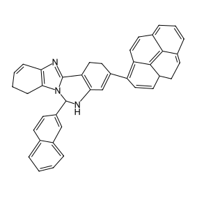 C1=Cc2nc3n(c2CC1)C(c1ccc2ccccc2c1)NC1=C3CCC(C2=c3ccc4cccc5c4c3C(C=C2)CC=5)=C1